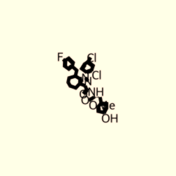 COC(=O)[C@@H](Cc1ccc(O)cc1)NC(=O)c1nn(-c2ccc(Cl)cc2Cl)c2c1CCCCC2Cc1ccc(F)cc1